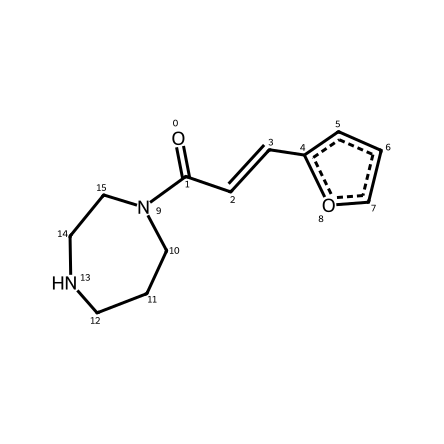 O=C(C=Cc1ccco1)N1CCCNCC1